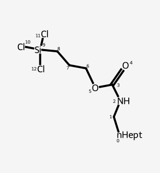 CCCCCCCCNC(=O)OCCC[Si](Cl)(Cl)Cl